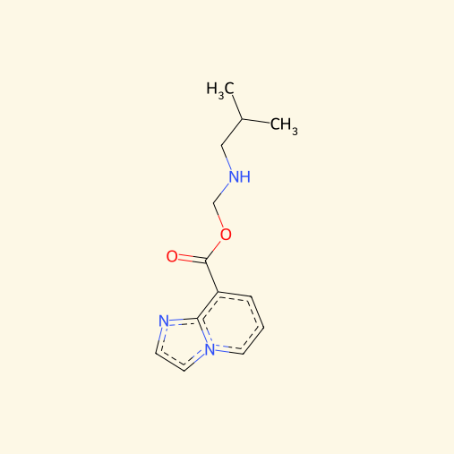 CC(C)CNCOC(=O)c1cccn2ccnc12